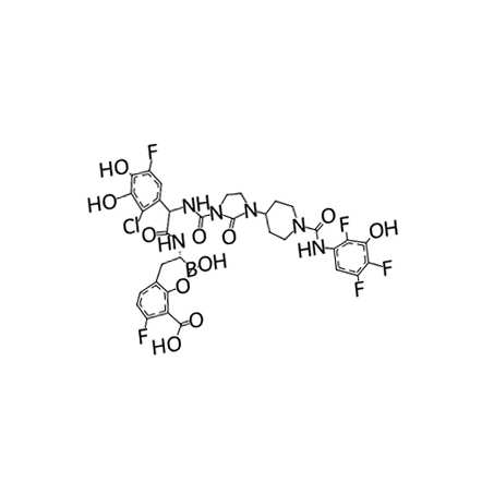 O=C(O)c1c(F)ccc2c1OB(O)[C@@H](NC(=O)C(NC(=O)N1CCN(C3CCN(C(=O)Nc4cc(F)c(F)c(O)c4F)CC3)C1=O)c1cc(F)c(O)c(O)c1Cl)C2